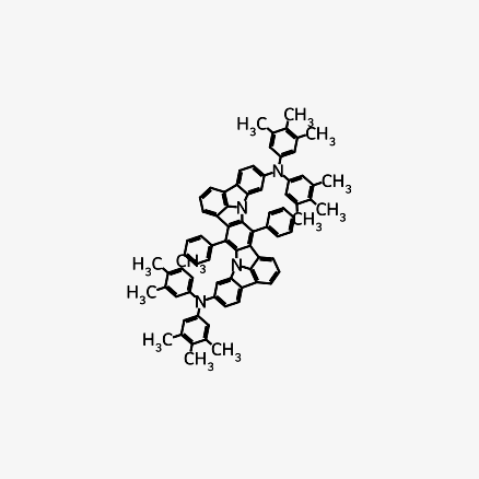 Cc1cc(N(c2cc(C)c(C)c(C)c2)c2ccc3c4cccc5c6c(-c7ccccc7)c7c(c(-c8ccccc8)c6n(c3c2)c45)c2cccc3c4ccc(N(c5cc(C)c(C)c(C)c5)c5cc(C)c(C)c(C)c5)cc4n7c32)cc(C)c1C